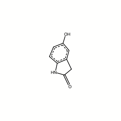 O=C1Cc2cc(O)ccc2N1